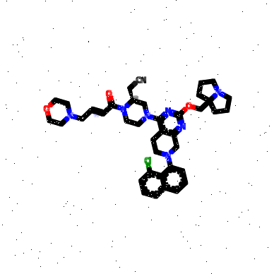 N#CC[C@H]1CN(c2nc(OCC34CCCN3CCC4)nc3c2CCN(c2cccc4cccc(Cl)c24)C3)CCN1C(=O)/C=C/CN1CCOCC1